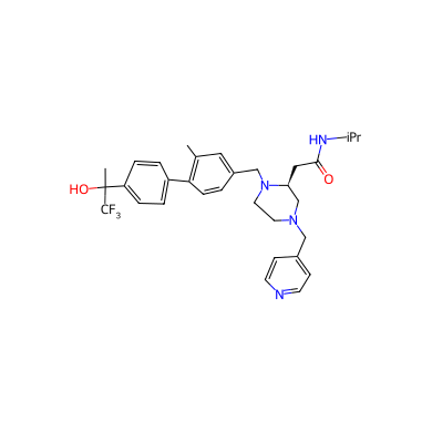 Cc1cc(CN2CCN(Cc3ccncc3)C[C@@H]2CC(=O)NC(C)C)ccc1-c1ccc(C(C)(O)C(F)(F)F)cc1